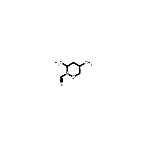 CC1CSN(C=S)C(C)C1